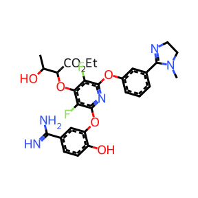 CCOC(=O)C(Oc1c(F)c(Oc2cccc(C3=NCCN3C)c2)nc(Oc2cc(C(=N)N)ccc2O)c1F)C(C)O